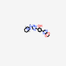 CN(c1cnc(-c2ccc(-c3cnc4c(n3)OCCO4)cc2O)nn1)[C@H]1C[C@]2(C)CCC[C@](C)(C1)N2